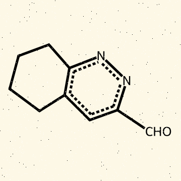 O=Cc1cc2c(nn1)CCCC2